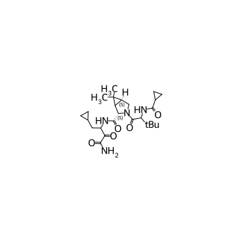 CC(C)(C)C(NC(=O)C1CC1)C(=O)N1C[C@H]2C([C@H]1C(=O)NC(CC1CC1)C(=O)C(N)=O)C2(C)C